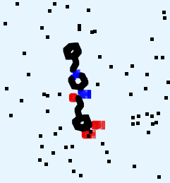 O=C(CCc1ccc(O)c(O)c1)NC1CCN(CCc2ccccc2)CC1